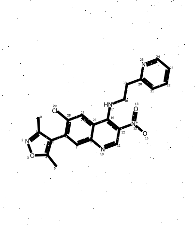 Cc1noc(C)c1-c1cc2ncc([N+](=O)[O-])c(NCCc3ccccn3)c2cc1Cl